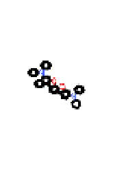 c1ccc(N(c2ccccc2)c2ccc3c(c2)oc2c3ccc3c2oc2cc(N(c4ccccc4)c4ccccc4)c4ccccc4c23)cc1